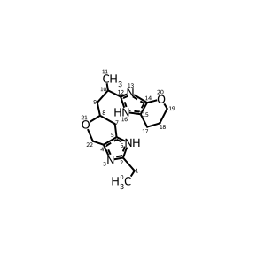 CCc1nc2c([nH]1)CC(CC(C)c1nc3c([nH]1)CCCO3)OC2